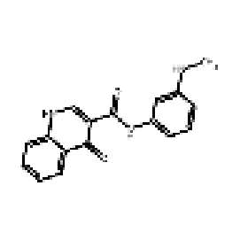 CNc1cccc(NC(=O)c2c[nH]c3ccccc3c2=O)c1